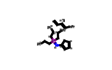 C=CC=CCCC.CC(C)CCP(CCC(C)C)(CCC(C)C)=NC1=CC=CC1.[Ti]